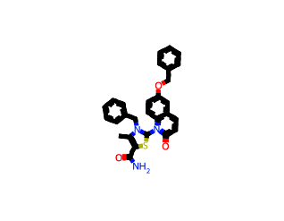 CC1=C(C(N)=O)SC(n2c(=O)ccc3cc(OCc4ccccc4)ccc32)N1Cc1ccccc1